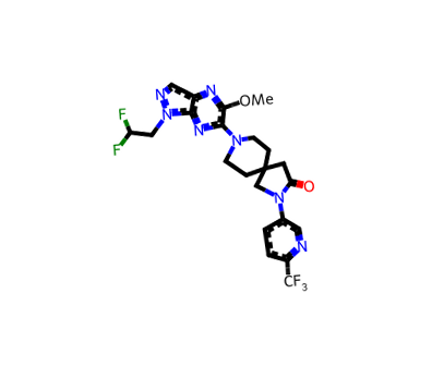 COc1nc2cnn(CC(F)F)c2nc1N1CCC2(CC1)CC(=O)N(c1ccc(C(F)(F)F)nc1)C2